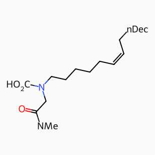 CCCCCCCCCCC/C=C\CCCCCN(CC(=O)NC)C(=O)O